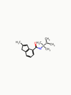 CC1=Cc2c(cccc2C(=O)[N][Si](C)(C)[Si](C)C)C1